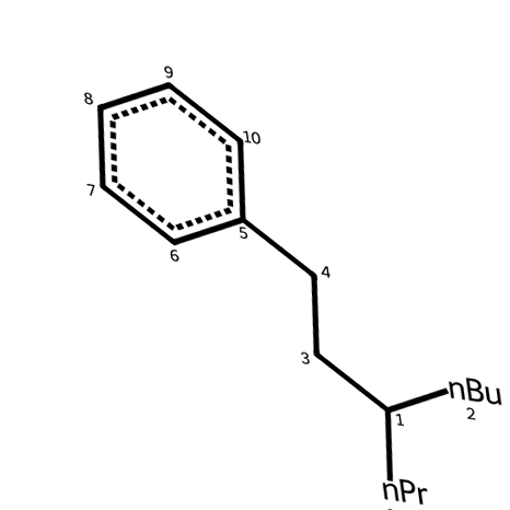 C[CH]CC(CCCC)CCc1ccccc1